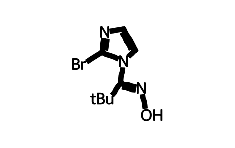 CC(C)(C)/C(=N\O)n1ccnc1Br